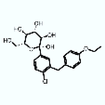 CCOc1ccc(Cc2cc([C@@]3(O)O[C@H](CO)[C@@H](O)[C@H](O)[C@H]3O)ccc2Cl)cc1